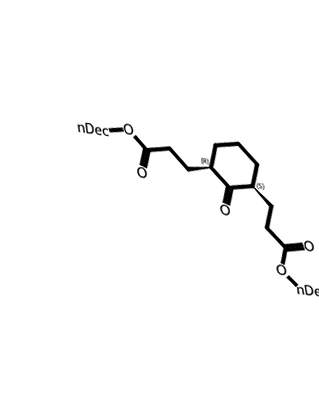 CCCCCCCCCCOC(=O)CC[C@H]1CCC[C@@H](CCC(=O)OCCCCCCCCCC)C1=O